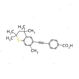 Cc1cc2c(cc1C#Cc1ccc(C(=O)O)cc1)C(C)(C)CC(C)(C)S2